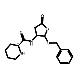 O=C1CC(NC(=O)[C@@H]2CCCCN2)C(OCc2ccccc2)O1